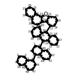 c1ccc2c(-c3ccc(-c4c5ccccc5c(-c5cccc6oc7c8ccccc8ccc7c56)c5ccccc45)c4ccccc34)cccc2c1